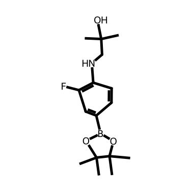 CC(C)(O)CNc1ccc(B2OC(C)(C)C(C)(C)O2)cc1F